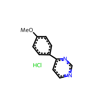 COc1ccc(-c2ccncn2)cc1.Cl